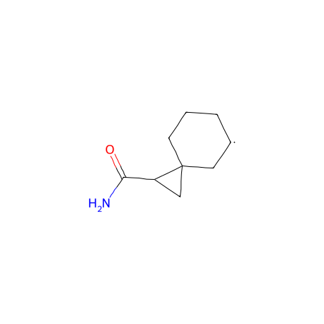 NC(=O)C1CC12C[CH]CCC2